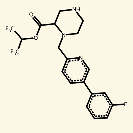 O=C(OC(C(F)(F)F)C(F)(F)F)C1CNCCN1Cc1ccc(-c2cccc(F)c2)cn1